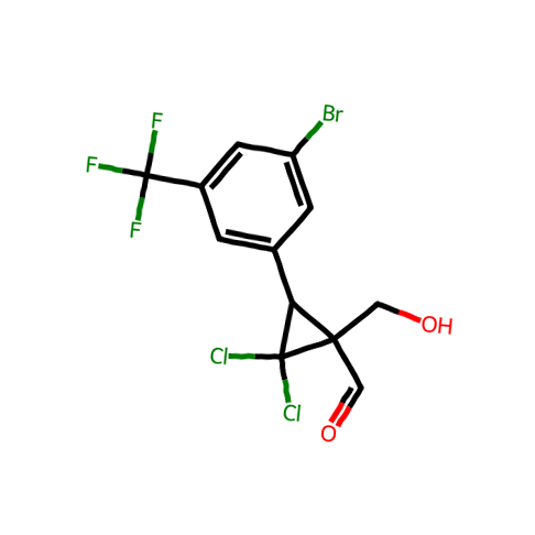 O=CC1(CO)C(c2cc(Br)cc(C(F)(F)F)c2)C1(Cl)Cl